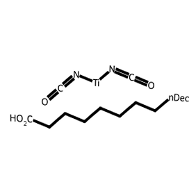 CCCCCCCCCCCCCCCCCC(=O)O.O=C=[N][Ti][N]=C=O